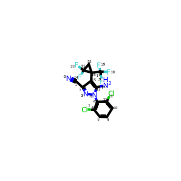 N#Cc1nn(-c2c(Cl)cccc2Cl)c(N)c1C1(C(F)(F)F)CC1(F)F